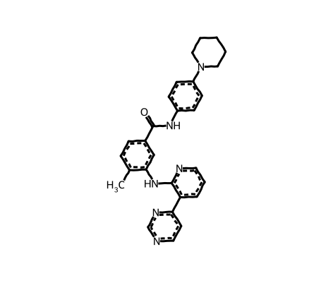 Cc1ccc(C(=O)Nc2ccc(N3CCCCC3)cc2)cc1Nc1ncccc1-c1ccncn1